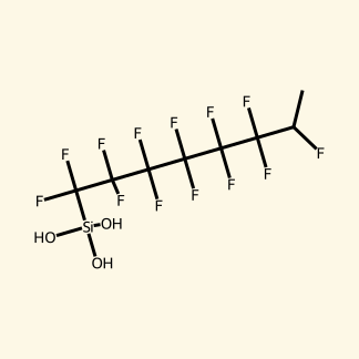 CC(F)C(F)(F)C(F)(F)C(F)(F)C(F)(F)C(F)(F)C(F)(F)[Si](O)(O)O